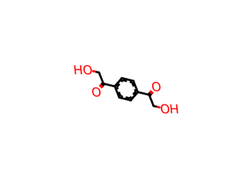 O=C(CO)c1ccc(C(=O)CO)cc1